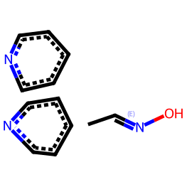 C/C=N/O.c1ccncc1.c1ccncc1